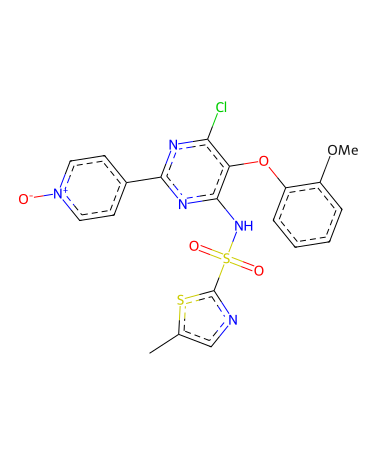 COc1ccccc1Oc1c(Cl)nc(-c2cc[n+]([O-])cc2)nc1NS(=O)(=O)c1ncc(C)s1